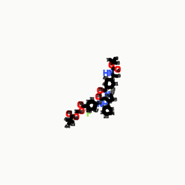 CC(NC(=O)OC(C)(C)C)[C@H]1CC[C@H](C(=O)N2CC[C@@H](C3CCCCC3)[C@H]2C(=O)Nc2ccc(C(=O)OCOC(=O)C(C)(C)C)c(F)c2)CC1